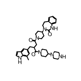 Cc1cc(CC(CC(=O)N2CCC(N3CCc4ccccc4NC3=O)CC2)C(=O)N2CCC(N3CCNCC3)CC2)cc2cc[nH]c12